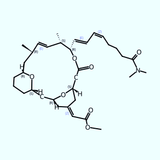 COC(=O)/C=C1\C[C@H]2CC(=O)O[C@@H](/C=C/C=C\CCCC(=O)N(C)C)[C@@H](C)/C=C/[C@H](C)C[C@H]3CCC[C@@H](C[C@@H](C1)O2)O3